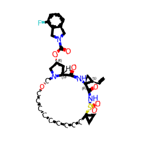 C=C[C@@H]1C[C@@]12NC(=O)[C@@H]1C[C@@H](OC(=O)N3Cc4cccc(F)c4C3)CN1COCCCCCCCCCC1(CC1)S(=O)(=O)NC2=O